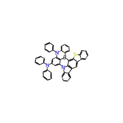 c1ccc(N(c2ccccc2)c2cc3c4c(c2)-n2c5ccccc5c5cc6c(sc7ccccc76)c(c52)B4c2ccccc2N3c2ccccc2)cc1